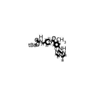 Cc1cc(Nc2nccn3c(I)cnc23)ccc1C(=O)N1CCC(CNC(=O)OC(C)(C)C)CC1